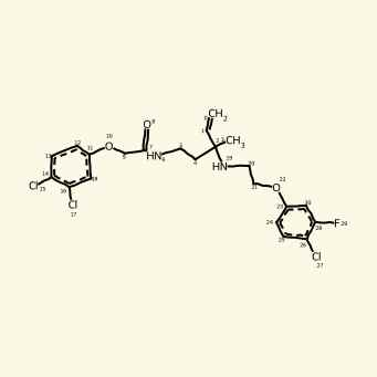 C=CC(C)(CCNC(=O)COc1ccc(Cl)c(Cl)c1)NCCOc1ccc(Cl)c(F)c1